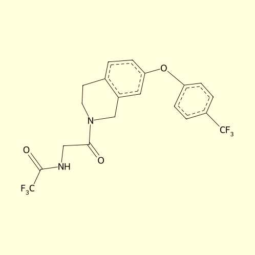 O=C(CNC(=O)C(F)(F)F)N1CCc2ccc(Oc3ccc(C(F)(F)F)cc3)cc2C1